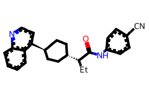 CCC(C(=O)Nc1ccc(C#N)cc1)[C@H]1CC[C@H](c2ccnc3ccccc32)CC1